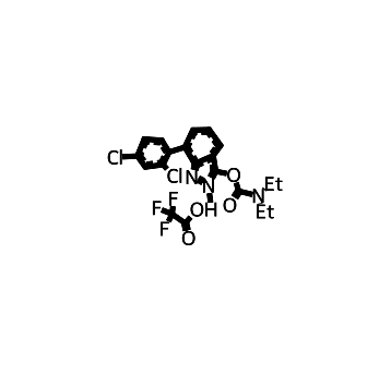 CCN(CC)C(=O)Oc1c2cccc(-c3ccc(Cl)cc3Cl)c2nn1C.O=C(O)C(F)(F)F